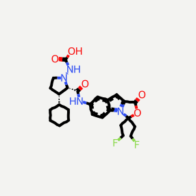 O=C(O)NN1CC[C@@H](C2CCCCC2)[C@H]1C(=O)Nc1ccc2c(c1)cc1n2C(CCF)(CCF)OC1=O